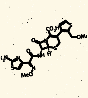 COCc1sccc1C1=C(C(=O)O)N2C(=O)[C@@H](NC(=O)C(=NOC)c3csc(N)n3)[C@@H]2SC1